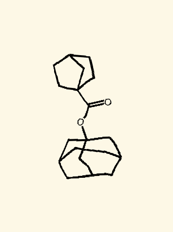 O=C(OC12CC3CC(CC(C3)C1)C2)C12CCC(CC1)C2